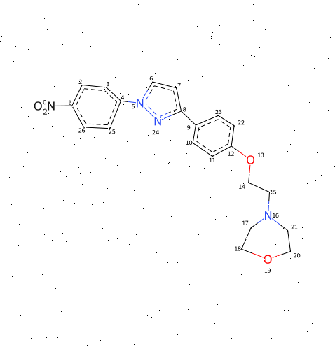 O=[N+]([O-])c1ccc(-n2ccc(-c3ccc(OCCN4CCOCC4)cc3)n2)cc1